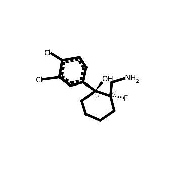 NC[C@@]1(F)CCCC[C@]1(O)c1ccc(Cl)c(Cl)c1